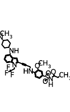 CCC(=O)NS(=O)(=O)c1ccc(NCC#Cc2cc3c(N[C@H]4CC[C@H](NC)CC4)cccc3n2CC(F)(F)F)c(OC)c1